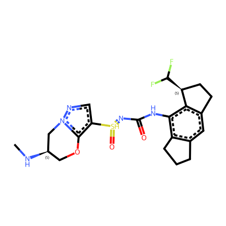 CN[C@@H]1COc2c([SH](=O)=NC(=O)Nc3c4c(cc5c3[C@@H](C(F)F)CC5)CCC4)cnn2C1